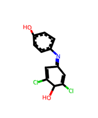 Oc1ccc(N=C2C=C(Cl)C(O)C(Cl)=C2)cc1